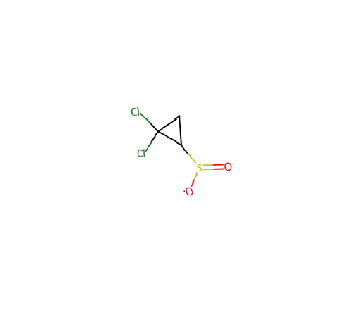 [O]S(=O)C1CC1(Cl)Cl